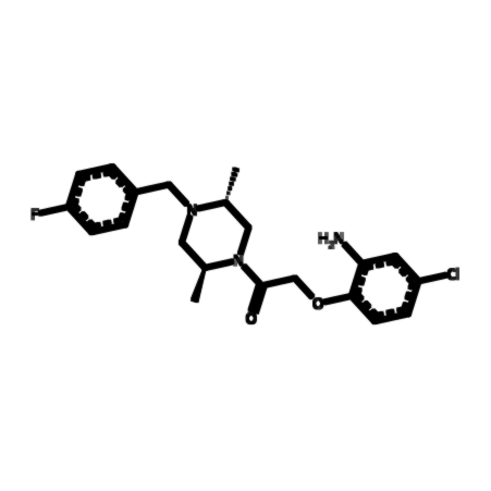 C[C@@H]1CN(C(=O)COc2ccc(Cl)cc2N)[C@@H](C)CN1Cc1ccc(F)cc1